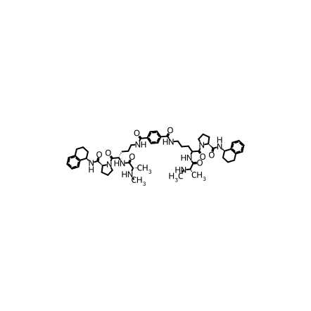 CN[C@@H](C)C(=O)NC(CCCNC(=O)c1ccc(C(=O)NCCC[C@H](NC(=O)[C@H](C)NC)C(=O)N2CCC[C@H]2C(=O)N[C@@H]2CCCc3ccccc32)cc1)C(=O)N1CCC[C@H]1C(=O)N[C@@H]1CCCc2ccccc21